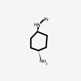 CC(C)N[C@H]1CC[C@H](N)CC1